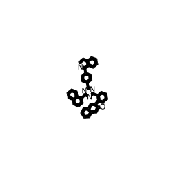 c1ccc2cc3c(cc2c1)oc1cccc(-c2nc(-c4ccc(-c5nccc6ccccc56)cc4)nc(-c4cccc5ccccc45)n2)c13